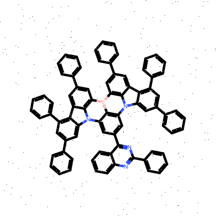 c1ccc(-c2cc3c4c(c2)c2c(-c5ccccc5)cc(-c5ccccc5)cc2n4-c2cc(-c4nc(-c5ccccc5)nc5ccccc45)cc4c2B3c2cc(-c3ccccc3)cc3c5c(-c6ccccc6)cc(-c6ccccc6)cc5n-4c23)cc1